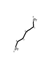 CC(C)C[C]CCC(C)C